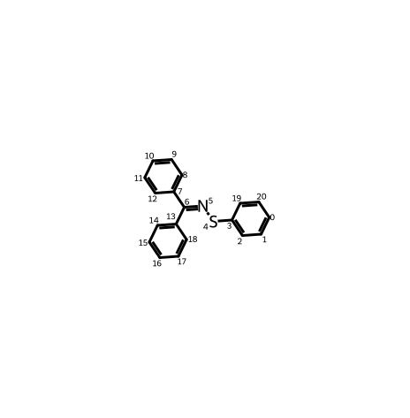 c1ccc(SN=C(c2ccccc2)c2ccccc2)cc1